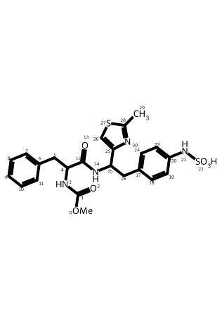 COC(=O)NC(Cc1ccccc1)C(=O)NC(Cc1ccc(NS(=O)(=O)O)cc1)c1csc(C)n1